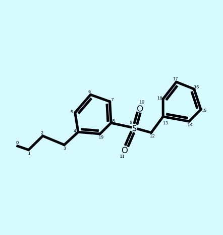 CCCCc1cccc(S(=O)(=O)Cc2ccccc2)c1